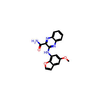 COc1cc(Nc2nc3ccccc3nc2C(N)=O)c2occc2c1